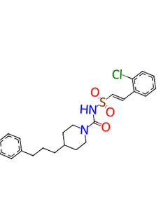 O=C(NS(=O)(=O)/C=C/c1ccccc1Cl)N1CCC(CCCc2ccccc2)CC1